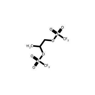 [CH2]C(COS(=O)(=O)C(F)(F)F)OS(=O)(=O)C(F)(F)F